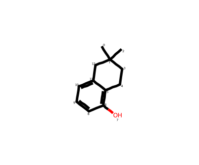 CC1(C)CCc2c(O)cccc2C1